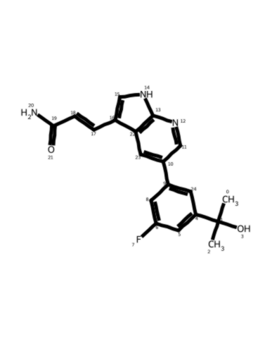 CC(C)(O)c1cc(F)cc(-c2cnc3[nH]cc(C=CC(N)=O)c3c2)c1